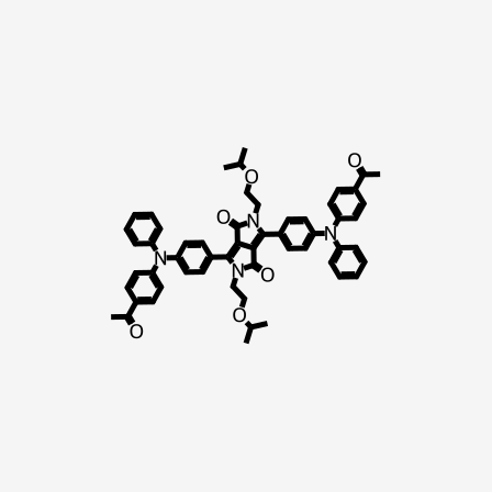 CC(=O)c1ccc(N(c2ccccc2)c2ccc(C3=C4C(=O)N(CCOC(C)C)C(c5ccc(N(c6ccccc6)c6ccc(C(C)=O)cc6)cc5)=C4C(=O)N3CCOC(C)C)cc2)cc1